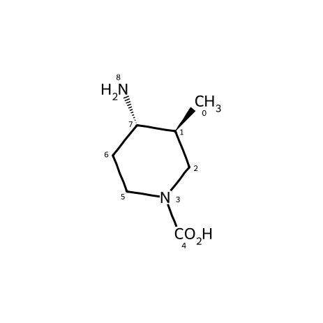 C[C@H]1CN(C(=O)O)CC[C@@H]1N